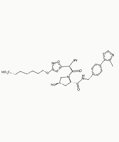 Cc1ncsc1-c1ccc(CNC(=O)[C@@H]2C[C@@H](O)CN2C(=O)C(c2cc(OCCCCCCC(=O)O)no2)C(C)C)cc1